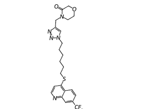 O=C1COCCN1Cc1cn(CCCCCCSc2ccnc3cc(C(F)(F)F)ccc23)nn1